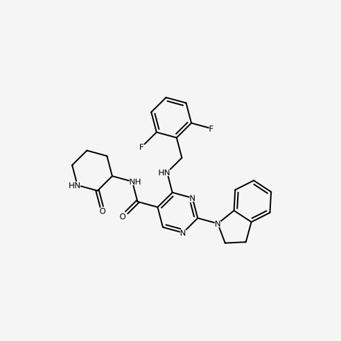 O=C(NC1CCCNC1=O)c1cnc(N2CCc3ccccc32)nc1NCc1c(F)cccc1F